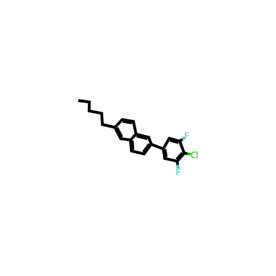 CCCCCc1ccc2cc(-c3cc(F)c(Cl)c(F)c3)ccc2c1